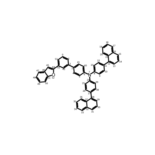 c1cc(-c2ccc(N(c3ccc(-c4cccc5ccccc45)cc3)c3ccc(-c4cccc5ccccc45)cc3)cc2)cc(-c2cc3ccccc3o2)c1